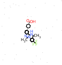 Cc1nc(N[C@H](C)c2cccc(C(F)(F)F)c2)c2cc([C@H]3CC[C@H](C(=O)O)CC3)ccc2n1